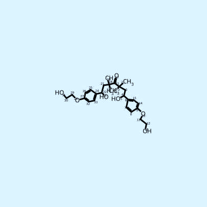 CC(C)(CC(O)c1ccc(OCCO)cc1)C(=O)C(C)(C)CC(O)c1ccc(OCCO)cc1